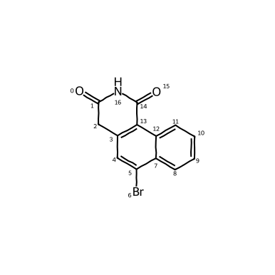 O=C1Cc2cc(Br)c3ccccc3c2C(=O)N1